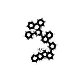 CC1(C)c2cc3ccccc3cc2-c2cccc(-c3cccc(-c4ccc(-c5cc(-c6ccccc6-c6ccccc6)nc(-c6ccccc6)n5)c5ccccc45)c3)c21